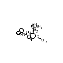 CCCO[C@@H]1CC[C@H]2CC[C@@H](C(=O)N[C@@H]3CCCc4ccccc43)N2C(=O)[C@@H](NC(=O)[C@H](C)NC)C1